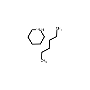 C1CC[15NH]CC1.CCCCCC